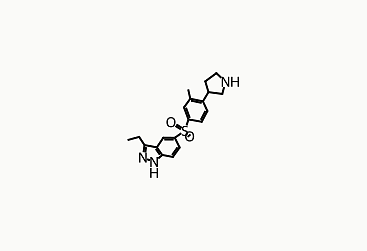 CCc1n[nH]c2ccc(S(=O)(=O)c3ccc(C4CCNC4)c(C)c3)cc12